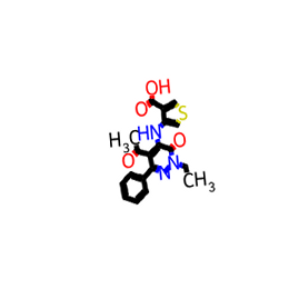 CCn1nc(-c2ccccc2)c(C(C)=O)c(Nc2cscc2C(=O)O)c1=O